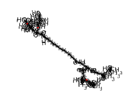 CB(O)N(C)CCCN(CCCCCO/B=N\CC(CCCCCCNC(=O)CCCCCCCCCCCCCCCCCCCCCCCNC(=O)CCC(=O)N(CCNC(=O)[C@@H](O)[C@H](O)[C@@H](O)[C@H](O)CO)CCNC(=O)[C@H](O)[C@@H](O)[C@H](O)[C@@H](O)CO)CN=C(B=O)CCCCN(CCCN(C)B(C)O)B(C)O)B(C)O